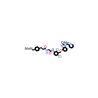 CNCc1ccc(CCC(=O)NCC(=O)N(C)c2ccc(Cl)c(COc3cccc4c3nc(OC)n4Cc3ccccn3)c2Cl)cc1